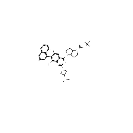 CN(C)C1CN(c2nc(N3CCC4C3CCN4C(=O)OC(C)(C)C)c3cc(Cl)c(-c4cc(O)cc5ccccc45)c(F)c3n2)C1